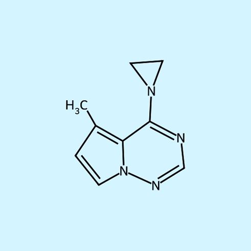 Cc1ccn2ncnc(N3CC3)c12